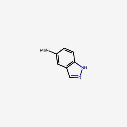 CNc1ccc2[nH]ncc2c1